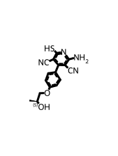 C[C@H](O)COc1ccc(-c2c(C#N)c(N)nc(S)c2C#N)cc1